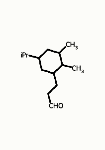 CC(C)C1CC(C)C(C)C(CCC=O)C1